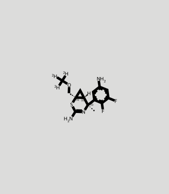 [2H]C([2H])([2H])OC[C@]12C[C@H]1[C@@](C)(c1cc(N)cc(F)c1F)N=C(N)S2